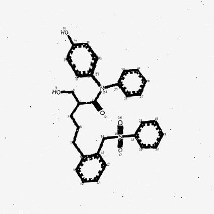 O=C(C(CO)CCCc1ccccc1CS(=O)(=O)c1ccccc1)N(c1ccccc1)c1ccc(O)cc1